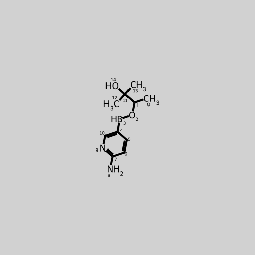 CC(OBc1ccc(N)nc1)C(C)(C)O